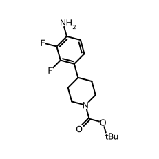 CC(C)(C)OC(=O)N1CCC(c2ccc(N)c(F)c2F)CC1